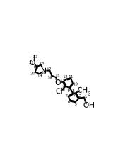 Cc1c(CO)cccc1-c1cccc(OCCCN2CC[C@@H](OI)C2)c1Cl